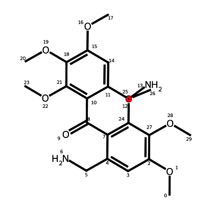 COc1cc(CN)c(C(=O)c2c(CN)cc(OC)c(OC)c2OC)c(OC)c1OC